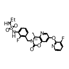 CCNS(=O)(=O)Nc1cccc(CN2C(=O)Oc3cc(Oc4ncccc4F)cnc3[C@@H]2C)c1F